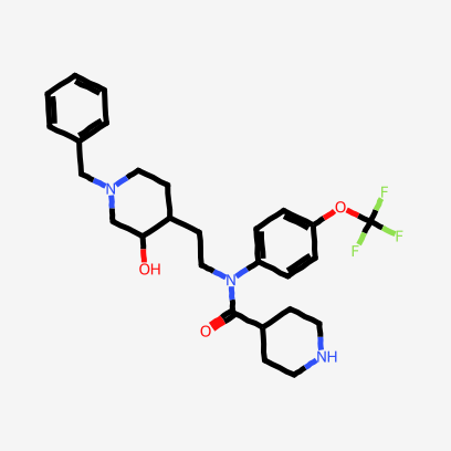 O=C(C1CCNCC1)N(CCC1CCN(Cc2ccccc2)CC1O)c1ccc(OC(F)(F)F)cc1